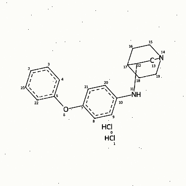 Cl.Cl.c1ccc(Oc2ccc(NC3CN4CCC3CC4)cc2)cc1